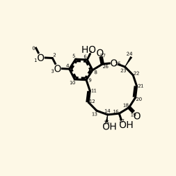 COCOc1cc(O)c2c(c1)/C=C/C[C@H](O)C(O)C(=O)/C=C\C[C@H](C)OC2=O